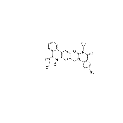 CCc1cc2c(=O)n(C3CC3)c(=O)n(Cc3ccc(-c4ccccc4-c4noc(=O)[nH]4)cc3)c2s1